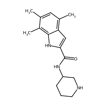 Cc1cc(C)c2cc(C(=O)NC3CCCNC3)[nH]c2c1C